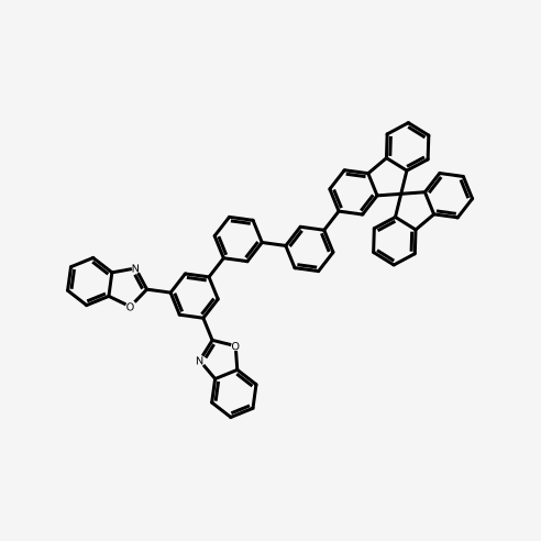 c1cc(-c2cccc(-c3ccc4c(c3)C3(c5ccccc5-c5ccccc53)c3ccccc3-4)c2)cc(-c2cc(-c3nc4ccccc4o3)cc(-c3nc4ccccc4o3)c2)c1